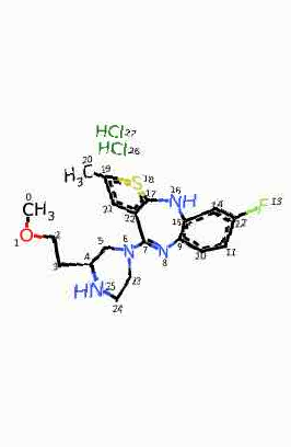 COCC[C@H]1CN(C2=Nc3ccc(F)cc3Nc3sc(C)cc32)CCN1.Cl.Cl